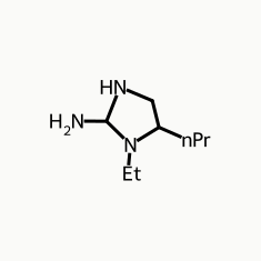 CCCC1CNC(N)N1CC